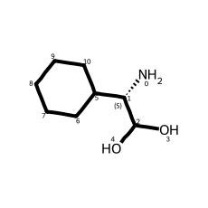 N[C@H](C(O)O)C1CCCCC1